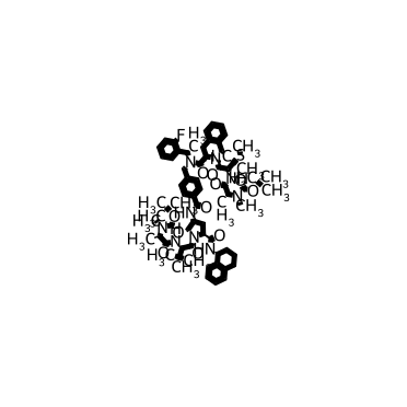 CSC(C)(C)C(NC(=O)[C@H](C)N(C)C(=O)OC(C)(C)C)C(=O)N1Cc2ccccc2CC1C(=O)N(Cc1ccc(C(=O)NC2C[C@@H](C(=O)N[C@@H]3CCCc4ccccc43)N(C(=O)[C@@H](NC(=O)[C@H](C)N(C)C(=O)OC(C)(C)C)C(C)(C)C)C2)cc1)[C@H](C)c1ccccc1F